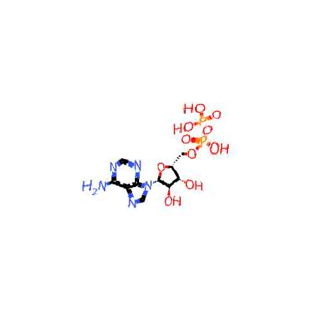 Nc1ncnc2c1ncn2[C@@H]1O[C@H](COP(=O)(O)OP(=O)(O)O)[C@H](O)[C@H]1O